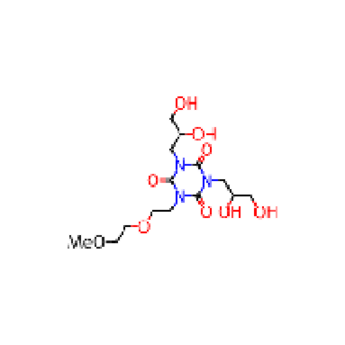 COCCOCCn1c(=O)n(CC(O)CO)c(=O)n(CC(O)CO)c1=O